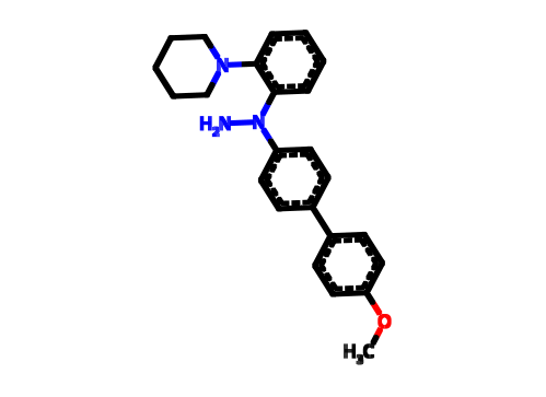 COc1ccc(-c2ccc(N(N)c3ccccc3N3CCCCC3)cc2)cc1